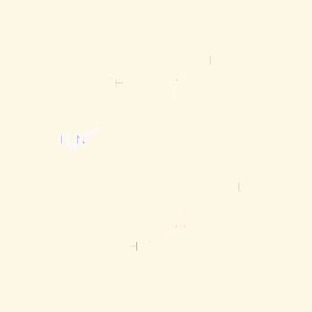 COc1cc(C(C)N)c(OC)cc1Br